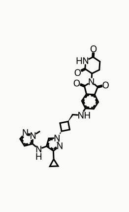 Cn1nccc1Nc1cn([C@H]2C[C@H](CNc3ccc4c(c3)C(=O)N(C3CCC(=O)NC3=O)C4=O)C2)nc1C1CC1